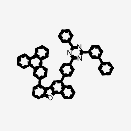 c1ccc(-c2cccc(-c3nc(-c4ccccc4)nc(-c4ccc(-c5cc6c(oc7cccc(-c8ccc9c%10ccccc%10c%10ccccc%10c9c8)c76)c6ccccc56)cc4)n3)c2)cc1